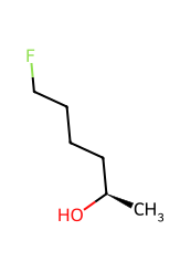 C[C@@H](O)CCCCF